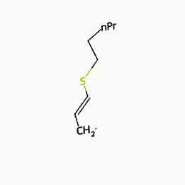 [CH2]/C=C/SCCCCC